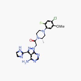 COc1cc(N2CCN(C(=O)Cn3nc(-c4ncc[nH]4)c4c(N)ncnc43)[C@@H](C)C2)c(F)cc1Cl